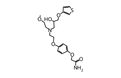 COCCN(CCOc1ccc(OCC(N)=O)cc1)CC(O)COc1ccsc1